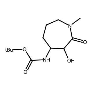 CN1CCCC(NC(=O)OC(C)(C)C)C(O)C1=O